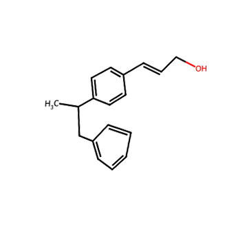 CC(Cc1ccccc1)c1ccc(C=CCO)cc1